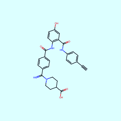 C#Cc1ccc(NC(=O)c2cc(O)ccc2NC(=O)c2ccc(C(=N)N3CCC(C(=O)O)CC3)cc2)cc1